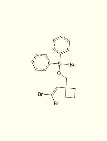 CC(C)(C)[Si](OCC1(C=C(Br)Br)CCC1)(c1ccccc1)c1ccccc1